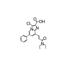 CCN(CC)C(=O)/C=C/c1cc(-c2ccccc2)cn2c(Cl)c(C(=O)O)nc12